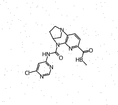 CBC(=O)c1ccc2c(n1)N(C(=O)Nc1cc(Cl)ncn1)C1CCN2C1